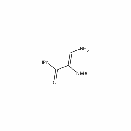 CN/C(=C\N)C(=O)C(C)C